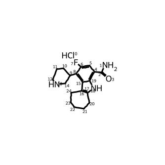 Cl.NC(=O)c1cc(F)c(C2CCCNC2)c2c3c([nH]c12)CCCCC3